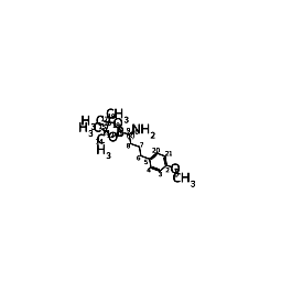 COc1ccc(CCC[C@H](N)B2OC(C)(C)C(C)(C)O2)cc1